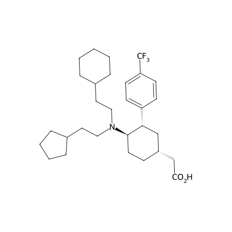 O=C(O)C[C@@H]1CC[C@@H](N(CCC2CCCCC2)CCC2CCCC2)[C@H](c2ccc(C(F)(F)F)cc2)C1